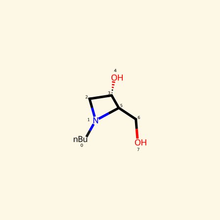 CCCCN1C[C@H](O)C1CO